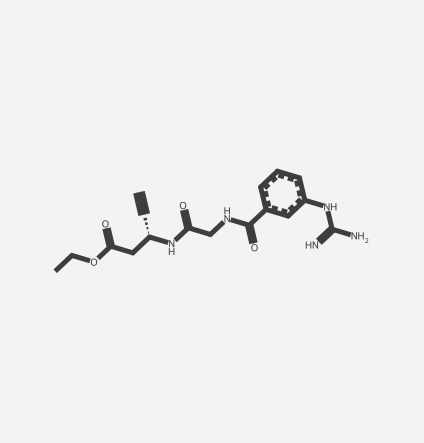 C#C[C@@H](CC(=O)OCC)NC(=O)CNC(=O)c1cccc(NC(=N)N)c1